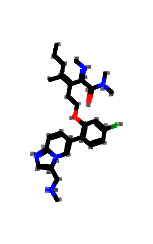 CCC/C(C)=C(CCOc1cc(F)ccc1-c1ccc2ncc(CNC)n2c1)\C(=N/C)C(=O)N(C)C